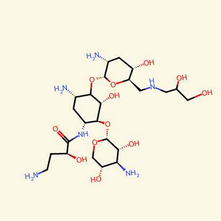 NCC[C@H](O)C(=O)N[C@@H]1C[C@H](N)C(O[C@H]2O[C@H](CNCC(O)CO)[C@@H](O)C[C@H]2N)[C@H](O)[C@H]1O[C@H]1OC[C@@H](O)[C@H](N)[C@H]1O